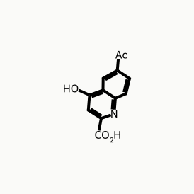 CC(=O)c1ccc2nc(C(=O)O)cc(O)c2c1